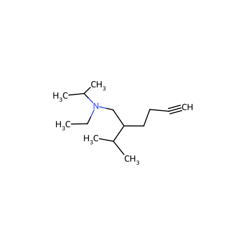 C#CCCC(CN(CC)C(C)C)C(C)C